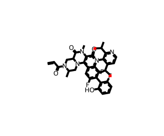 C=CC(=O)N1CC2C(=O)N(C)c3c(c4cc(F)c(-c5c(O)cccc5F)c(F)c4n(-c4c(C(C)C)ccnc4C(C)C)c3=O)N2CC1C